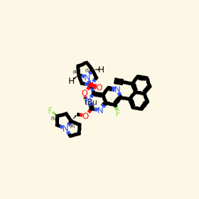 C#Cc1cccc2cccc(-c3ncc4c(N5C[C@H]6CC[C@@H](C5)N6C(=O)OC(C)(C)C)nc(OC[C@]56CCCN5C[C@@H](F)C6)nc4c3F)c12